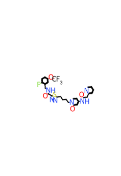 O=C(Cc1ccccn1)Nc1ccn(CCCCc2nnc(C(=O)NCc3cc(OC(F)(F)F)ccc3F)s2)c(=O)c1